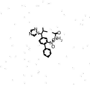 CC(C)C(c1ccc(-c2ccccc2)c([N+](=O)[O-])c1)n1cncn1.CC(N)=O